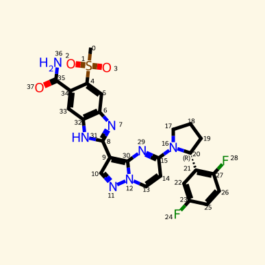 CS(=O)(=O)c1cc2nc(-c3cnn4ccc(N5CCC[C@@H]5c5cc(F)ccc5F)nc34)[nH]c2cc1C(N)=O